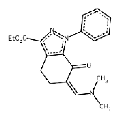 CCOC(=O)c1nn(-c2ccccc2)c2c1CC/C(=C/N(C)C)C2=O